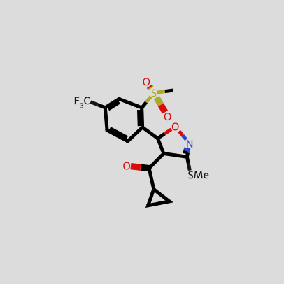 CSC1=NOC(c2ccc(C(F)(F)F)cc2S(C)(=O)=O)C1C(=O)C1CC1